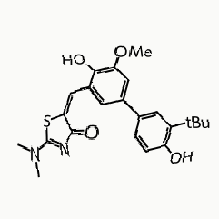 COc1cc(-c2ccc(O)c(C(C)(C)C)c2)cc(C=C2SC(N(C)C)=NC2=O)c1O